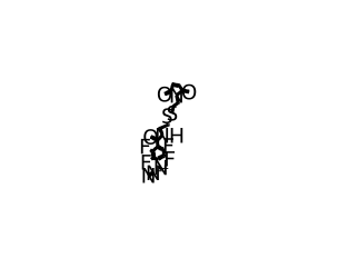 [N-]=[N+]=Nc1c(F)c(F)c(C(=O)NCCSSCCN2C(=O)C=CC2=O)c(F)c1F